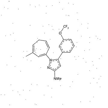 CNc1cc(-c2cccc(OC(F)(F)F)c2)n(C2=CC(C)=CCC=C2)n1